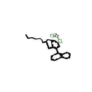 CCCCCCC1=Cc2c(cccc2-c2cccc3ccccc23)[CH]1.[Cl][Zr][Cl]